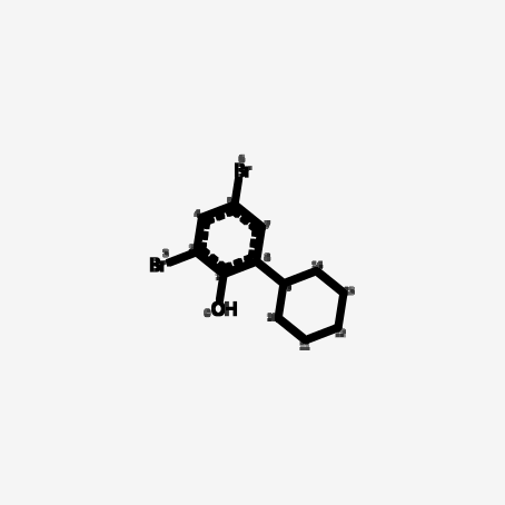 Oc1c(Br)cc(Br)cc1C1CCCCC1